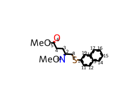 CON=C(CCC(=O)OC)CSc1ccc2ccccc2c1